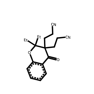 CCC1(CC)Oc2ccccc2C(=O)C1(CCC#N)CCC#N